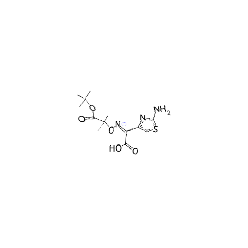 CC(C)(C)OC(=O)C(C)(C)O/N=C(\C(=O)O)c1csc(N)n1